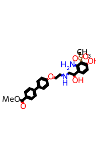 COC(=O)c1ccc(-c2ccc(OCCNCC(O)c3ccc(O)c(S(C)(=O)=O)c3N)cc2)cc1